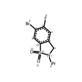 CC(C)N1Cc2cc(F)c(Br)cc2S1(=O)=O